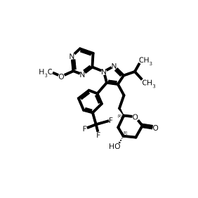 COc1nccc(-n2nc(C(C)C)c(CC[C@@H]3C[C@@H](O)CC(=O)O3)c2-c2cccc(C(F)(F)F)c2)n1